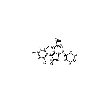 Cc1cc(C)c(C2=C(OC(=O)C(C)(C)C)C(CC3CCOCC3)OC2=O)c(C)c1